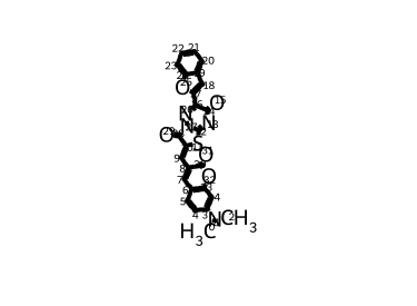 CN(C)c1ccc2cc(/C=c3\sc4nc(=O)c(-c5cc6ccccc6o5)nn4c3=O)c(=O)oc2c1